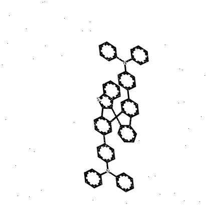 c1ccc(N(c2ccccc2)c2ccc(-c3ccc4c(c3)C3(c5ccccc5-4)c4cc(-c5ccc(N(c6ccccc6)c6ccccc6)cc5)ccc4-c4sc5ccccc5c43)cc2)cc1